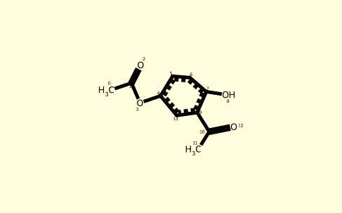 CC(=O)Oc1ccc(O)c(C(C)=O)c1